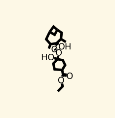 CCOC(=O)C1CCC(O)(OOC2(O)C(C)CC3CC(C3)CC2C)CC1